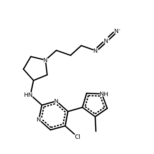 Cc1c[nH]cc1-c1nc(NC2CCN(CCCN=[N+]=[N-])C2)ncc1Cl